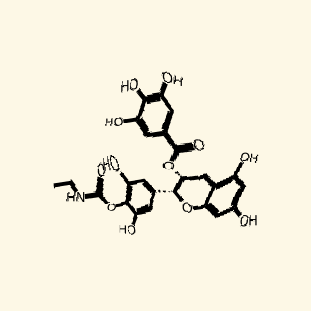 CCNC(=O)Oc1c(O)cc([C@H]2Oc3cc(O)cc(O)c3C[C@H]2OC(=O)c2cc(O)c(O)c(O)c2)cc1O